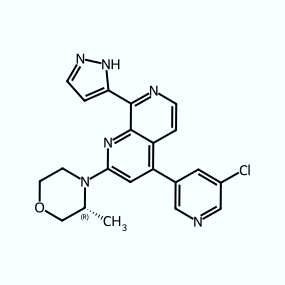 C[C@@H]1COCCN1c1cc(-c2cncc(Cl)c2)c2ccnc(-c3ccn[nH]3)c2n1